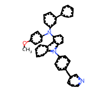 COc1ccc(N(c2cccc(-c3ccccc3)c2)c2cccc3c2c2ccccc2n3-c2ccc(-c3cccnc3)cc2)cc1